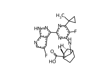 CC1(c2nc(-c3n[nH]c4ncc(F)cc34)nc(N[C@H]3C4CCC(CC4)[C@@H]3C(=O)O)c2F)CC1